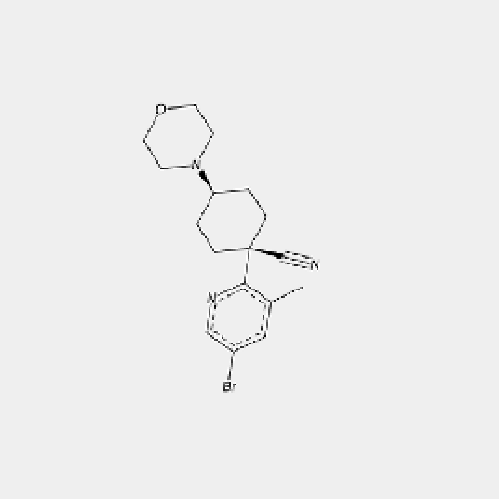 Cc1cc(Br)cnc1[C@]1(C#N)CC[C@@H](N2CCOCC2)CC1